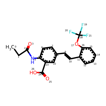 CCC(=O)Nc1ccc(/C=C/c2ccccc2OC(F)(F)F)cc1C(=O)O